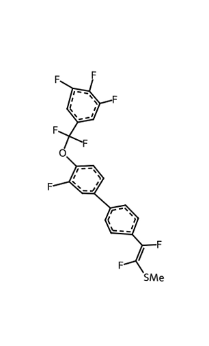 CS/C(F)=C(\F)c1ccc(-c2ccc(OC(F)(F)c3cc(F)c(F)c(F)c3)c(F)c2)cc1